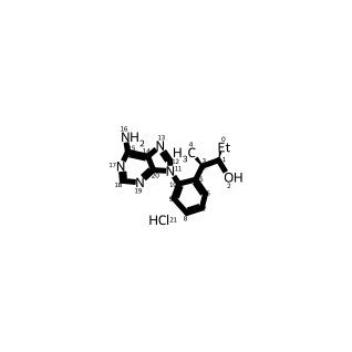 CC[C@H](O)[C@H](C)c1ccccc1-n1cnc2c(N)ncnc21.Cl